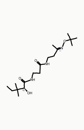 CCC(C)(C)[C@H](O)C(=O)NCCC(=O)NCC/C(C)=N/OC(C)(C)C